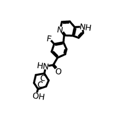 O=C(NC12CCC(O)(CC1)CC2)c1ccc(-c2nccc3[nH]ccc23)c(F)c1